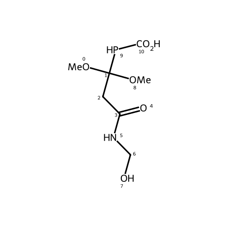 COC(CC(=O)NCO)(OC)PC(=O)O